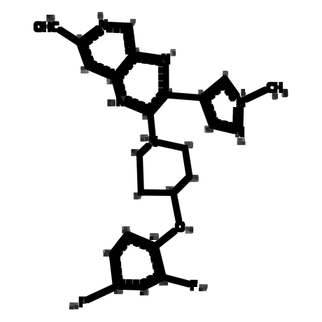 Cn1cc(-c2nc3cnc(C=O)cc3nc2N2CCC(Oc3ccc(F)cc3F)CC2)cn1